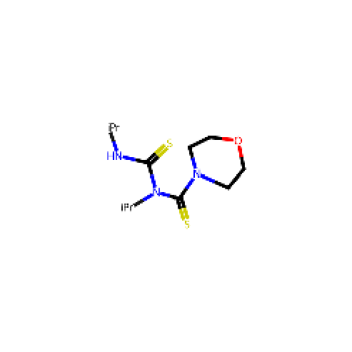 CC(C)NC(=S)N(C(=S)N1CCOCC1)C(C)C